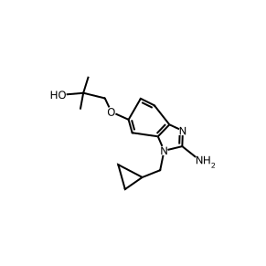 CC(C)(O)COc1ccc2nc(N)n(CC3CC3)c2c1